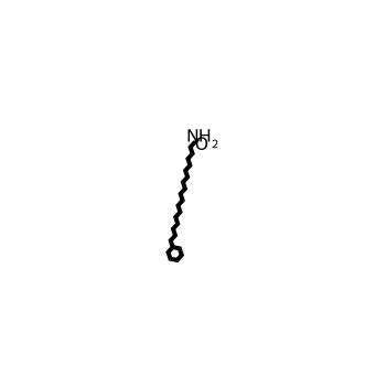 NC(=O)CCCCCCCCCCCCCCCCCC1CCCCC1